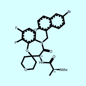 CN[C@@H](C)C(=O)N[C@@H]1C(=O)N(Cc2c(OC)ccc3cc(Br)ccc23)c2ccc(F)c(F)c2OC12CCOCC2